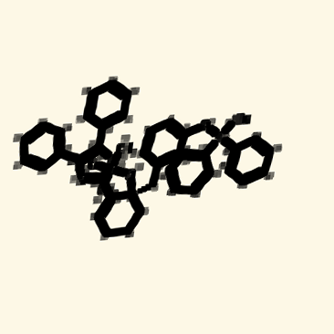 CC(C)(C)[Si](Oc1cccc(C[C@]2(O[Si](C)(C)C)CCCC=C2c2nc(-c3ccccc3)c(-c3ccccc3)o2)c1)(c1ccccc1)c1ccccc1